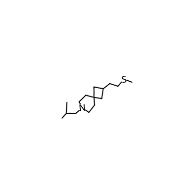 CSCCC1CC2(CCN(CC(C)C)CC2)C1